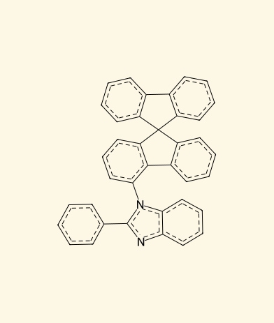 c1ccc(-c2nc3ccccc3n2-c2cccc3c2-c2ccccc2C32c3ccccc3-c3ccccc32)cc1